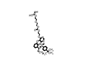 COCc1cccc(Oc2c(NS(=O)(=O)c3ccc(C(C)(C)C)cc3)ncnc2OCCOC(=O)OCCOCCON(O)O)c1